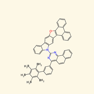 Bc1c(B)c(B)c(-c2cccc(-c3nc(-n4c5ccccc5c5cc6oc7c8ccccc8c8ccccc8c7c6cc54)nc4c3ccc3ccccc34)c2)c(B)c1B